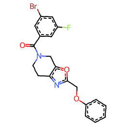 O=C(c1cc(F)cc(Br)c1)N1CCc2nc(COc3ccccc3)oc2C1